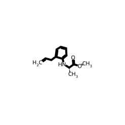 C=CCc1ccccc1N[C@@H](C)C(=O)OC